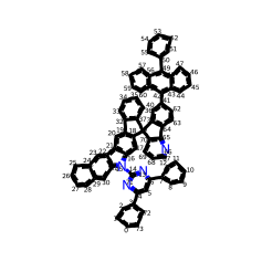 c1ccc(-c2cc(-c3ccccc3)nc(-n3c4cc5c(cc4c4cc6ccccc6cc43)-c3ccccc3C53c4cc(-c5c6ccccc6c(-c6ccccc6)c6ccccc56)ccc4-c4ncccc43)n2)cc1